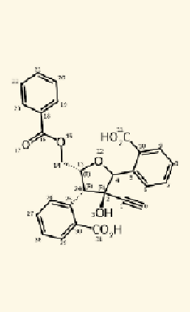 C#C[C@@]1(O)C(c2ccccc2C(=O)O)O[C@@H](COC(=O)c2ccccc2)[C@H]1c1ccccc1C(=O)O